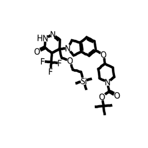 CC(C)(C)OC(=O)N1CCC(Oc2ccc3c(c2)CN(C2(COCC[Si](C)(C)C)C=NNC(=O)C2C(F)(F)F)C3)CC1